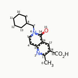 Cc1nc2ccn(CC3CCCCC3)c(=O)c2cc1C(=O)O